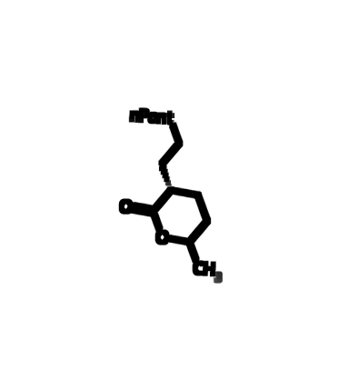 CCCCCCC[C@@H]1CCC(C)OC1=O